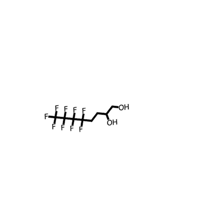 OCC(O)CCC(F)(F)C(F)(F)C(F)(F)C(F)(F)F